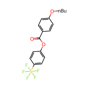 CCCCOc1ccc(C(=O)Oc2ccc(S(F)(F)(F)(F)F)cc2)cc1